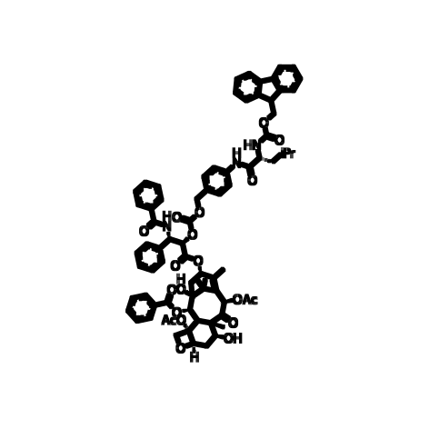 CC(=O)O[C@H]1C(=O)[C@@]2(C)C([C@H](OC(=O)c3ccccc3)[C@]3(O)C[C@H](OC(=O)[C@H](OC(=O)OCc4ccc(NC(=O)[C@@H](CC(C)C)NC(=O)OCC5c6ccccc6-c6ccccc65)cc4)[C@@H](NC(=O)c4ccccc4)c4ccccc4)C(C)=C1C3(C)C)[C@]1(OC(C)=O)CO[C@@H]1C[C@@H]2O